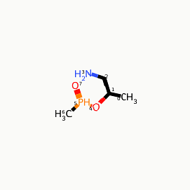 CC(CN)O[PH](C)=O